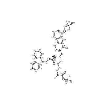 CN(CCCC[C@@H](CN1CCn2c(cc3c(OCC(F)(F)F)nccc32)C1=O)NC(=O)OCC1c2ccccc2-c2ccccc21)C(=O)OC(C)(C)C